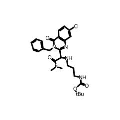 CN(C)C(=O)C(NCCCNC(=O)OC(C)(C)C)c1nc2cc(Cl)ccc2c(=O)n1Cc1ccccc1